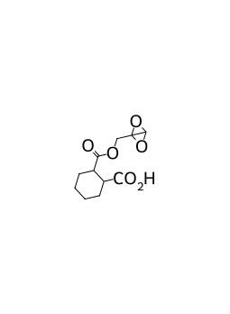 O=C(O)C1CCCCC1C(=O)OCC12OC1O2